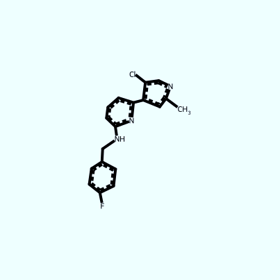 Cc1cc(-c2cccc(NCc3ccc(F)cc3)n2)c(Cl)cn1